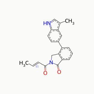 C/C=C/C(=O)N1Cc2c(cccc2-c2ccc3[nH]cc(C)c3c2)C1=O